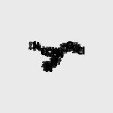 CCN(CC)CCCOc1ccc(-n2cc(-c3ccc(Oc4ccc(Cl)cc4)cc3)nc2C2CCN(Cc3ccccn3)CC2)cc1